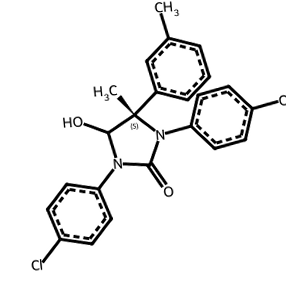 Cc1cccc([C@@]2(C)C(O)N(c3ccc(Cl)cc3)C(=O)N2c2ccc(Cl)cc2)c1